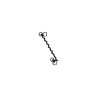 CC(CCCCCCCCCCCCCCC(=O)Cl)C(=O)Cl